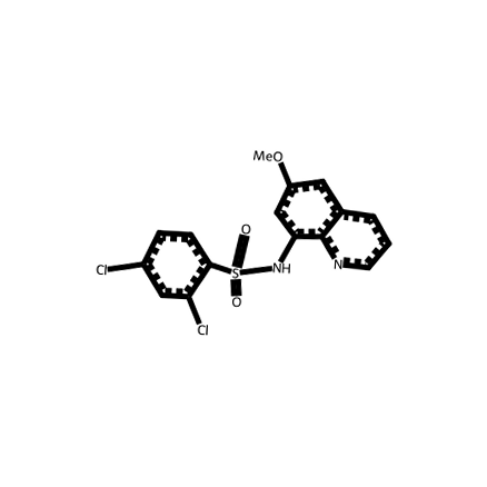 COc1cc(NS(=O)(=O)c2ccc(Cl)cc2Cl)c2ncccc2c1